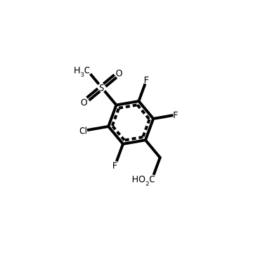 CS(=O)(=O)c1c(F)c(F)c(CC(=O)O)c(F)c1Cl